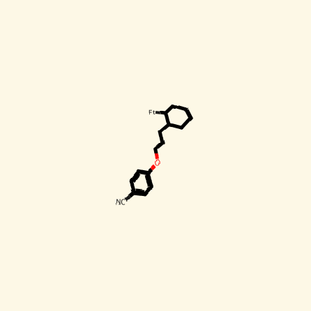 CCC1CCCCC1CCCOc1ccc(C#N)cc1